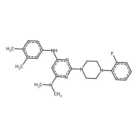 Cc1ccc(Nc2cc(N(C)C)nc(N3CCN(c4ccccc4F)CC3)n2)cc1C